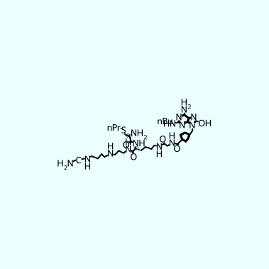 [CH2][CH]CSC[C@H](N)C(=O)N[C@@H](CCCCNC(=O)CNC(=O)c1ccc(Cn2c(O)nc3c(N)nc(NCCCC)nc32)cc1)C(=O)NCCCNCCCCNCCCN